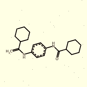 C=C(Nc1ccc(NC(=O)C2CCCCC2)cc1)C1CCCCC1